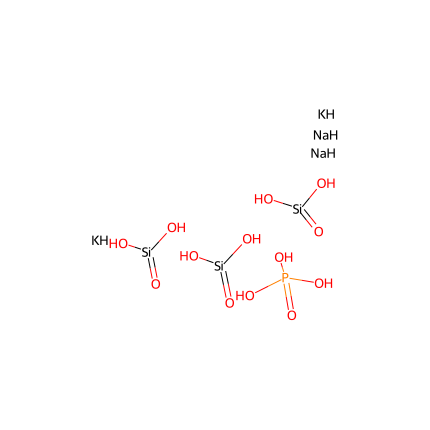 O=P(O)(O)O.O=[Si](O)O.O=[Si](O)O.O=[Si](O)O.[KH].[KH].[NaH].[NaH]